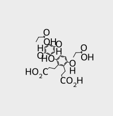 CCC(=O)O.CCC(=O)O.O=C(O)CCc1c(O)ccc(O)c1CCC(=O)O.Oc1ccc(O)cc1